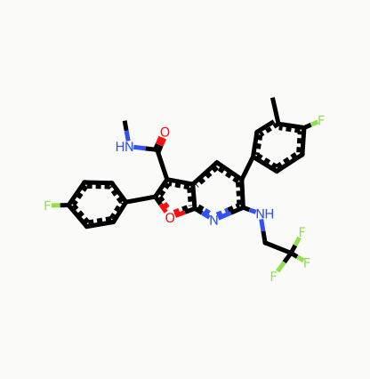 CNC(=O)c1c(-c2ccc(F)cc2)oc2nc(NCC(F)(F)F)c(-c3ccc(F)c(C)c3)cc12